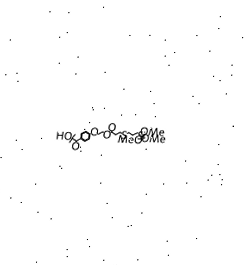 CO[Si](CCCSCCC(=O)OCCOc1ccc(C(=O)C(C)(C)O)cc1)(OC)OC